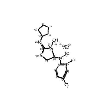 CC(=O)N(c1ccc(Cl)cc1F)C1CSC(=NC2CCCC2)N1C.Cl